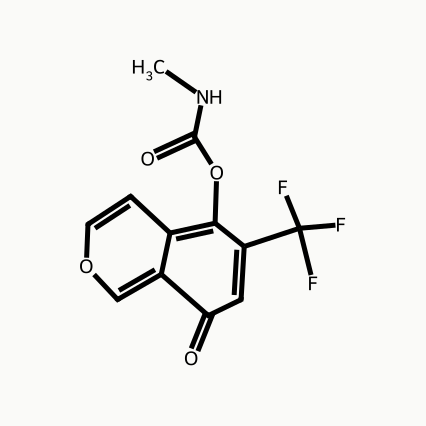 CNC(=O)Oc1c2ccocc-2c(=O)cc1C(F)(F)F